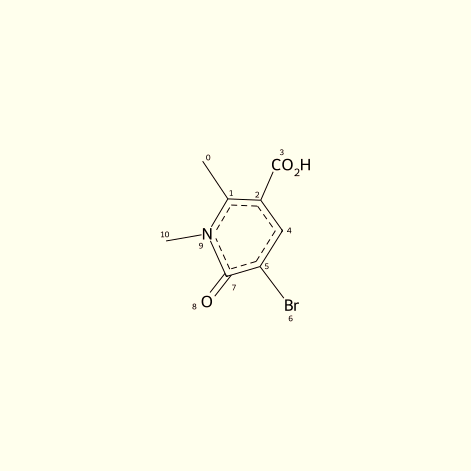 Cc1c(C(=O)O)cc(Br)c(=O)n1C